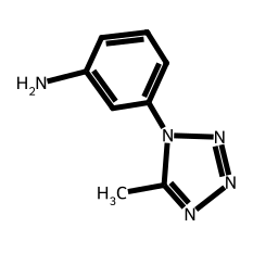 Cc1nnnn1-c1cccc(N)c1